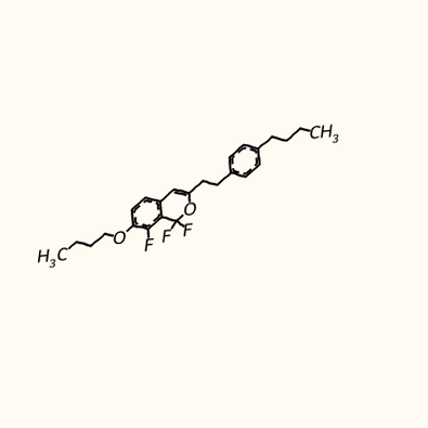 CCCCOc1ccc2c(c1F)C(F)(F)OC(CCc1ccc(CCCC)cc1)=C2